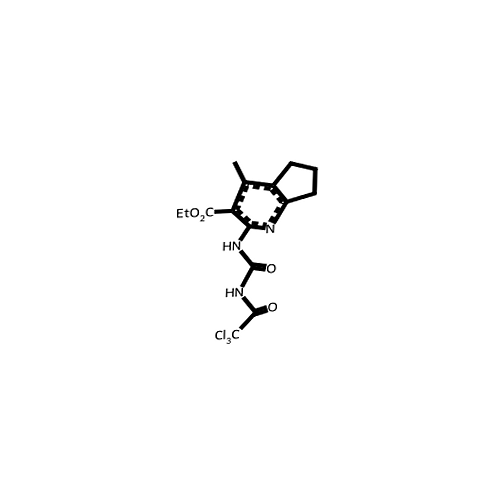 CCOC(=O)c1c(NC(=O)NC(=O)C(Cl)(Cl)Cl)nc2c(c1C)CCC2